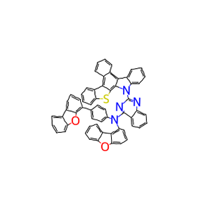 c1ccc2c(N(c3ccc(-c4cccc5c4oc4ccccc45)cc3)c3cccc4oc5ccccc5c34)nc(-n3c4ccccc4c4c5ccccc5c5c6ccccc6sc5c43)nc2c1